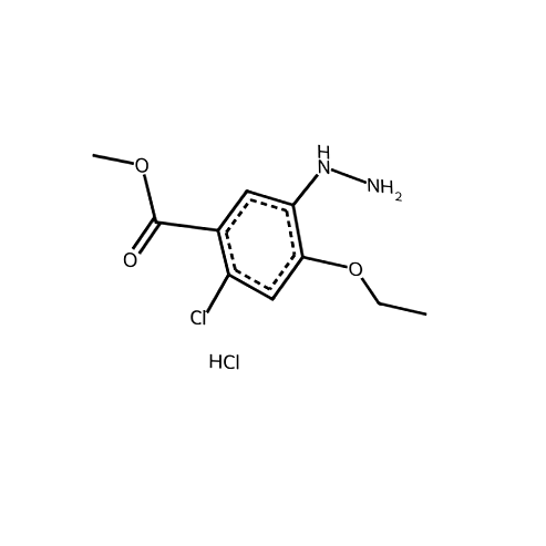 CCOc1cc(Cl)c(C(=O)OC)cc1NN.Cl